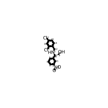 O=[N+]([O-])c1cccc([C@@H](CO)NCc2ccc(Cl)cc2Cl)c1